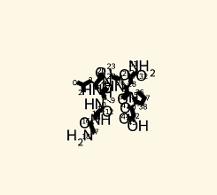 CC(C)C[C@H](NC(=O)[C@H](C)NC(=O)CNC(=O)CN)C(=O)N[C@@H](C)C(=O)N[C@@H](CCC(N)=O)C(=O)N1CCC[C@H]1C(=O)CC(=O)O